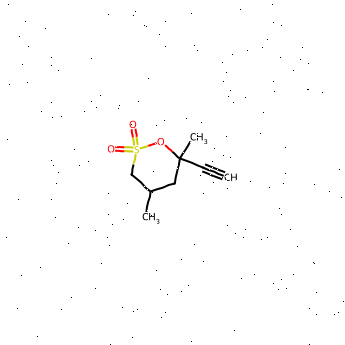 C#CC1(C)CC(C)CS(=O)(=O)O1